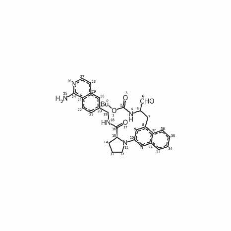 CC(C)(C)OC(=O)N[C@@H](C=O)Cc1cc(N2CCC[C@H]2C(=O)NCc2ccc3c(N)nccc3c2)cc2ccccc12